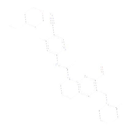 COC1CCOC[C@@H]1Oc1cc(NC(=O)N2CCCc3cc(CN4CCOCC4=O)c(C=O)nc32)ncc1C#N